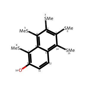 CSc1c(SC)c(SC)c2c(SC)c([O])ccc2c1SC